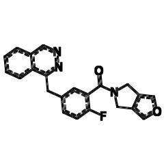 O=C(c1cc(Cc2nncc3ccccc23)ccc1F)N1Cc2cocc2C1